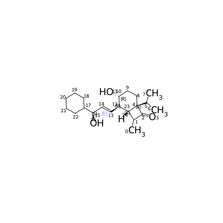 CC1C(=O)[C@@]2(C(C)C)CC[C@@H](O)[C@H](/C=C/[C@@H](O)C3CCCCC3)[C@@H]12